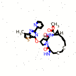 COC(=O)[C@@]12C[C@H]1/C=C\CCCCCC(=N)C(=O)N1C[C@H](Oc3nc(-c4ccccn4)nc4c(C)csc34)C[C@H]1C(=O)N2